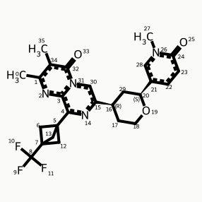 Cc1nc2c(C34CC(C(F)(F)F)(C3)C4)nc([C@@H]3CCO[C@H](c4ccc(=O)n(C)c4)C3)cn2c(=O)c1C